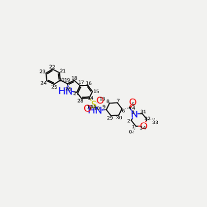 C[C@@H]1CN(C(=O)[C@H]2CC[C@H](NS(=O)(=O)c3ccc4cc(-c5ccccc5)[nH]c4c3)CC2)C[C@H](C)O1